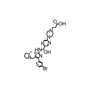 C[C@@H]1CCCN1Cc1sc(NC(O)c2cnc(N3CCN(CCC(=O)O)CC3)cn2)nc1-c1cc(Br)cs1